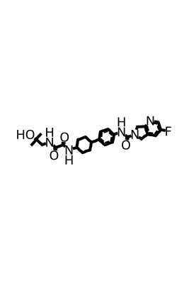 CC(C)(O)CNC(=O)C(=O)NC1CCC(c2ccc(NC(=O)N3Cc4cc(F)cnc4C3)cc2)CC1